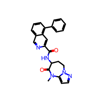 CN1C(=O)C(NC(=O)c2cc3c(-c4ccccc4)cccc3cn2)CCn2nccc21